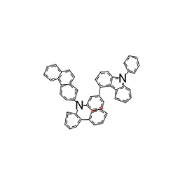 c1ccc(-c2ccccc2N(c2cccc(-c3cccc4c3c3ccccc3n4-c3ccccc3)c2)c2ccc3c(ccc4ccccc43)c2)cc1